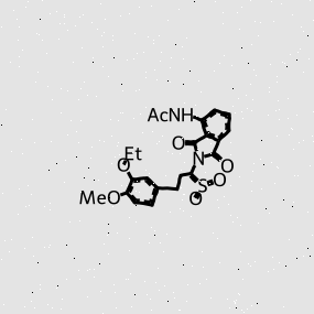 CCOc1cc(CCC(N2C(=O)c3cccc(NC(C)=O)c3C2=O)=S(=O)=O)ccc1OC